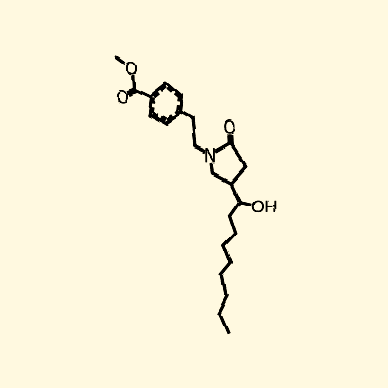 CCCCCCCCC(O)C1CC(=O)N(CCc2ccc(C(=O)OC)cc2)C1